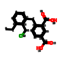 CCc1cccc(Cc2ccc(C(=O)O)cc2C(=O)O)c1CCl